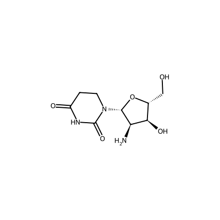 N[C@@H]1[C@H](O)[C@@H](CO)O[C@H]1N1CCC(=O)NC1=O